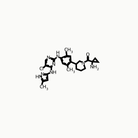 Cc1cc(Nc2nc(Nc3cc(C)c(C4CCCN(C(=O)C5(N)CC5)C4)cc3C)ncc2Cl)n[nH]1